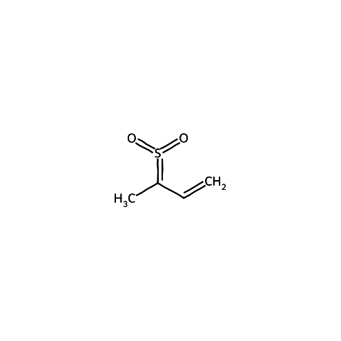 C=CC(C)=S(=O)=O